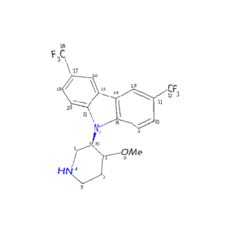 COC1CCNC[C@H]1n1c2ccc(C(F)(F)F)cc2c2cc(C(F)(F)F)ccc21